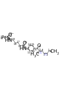 C=C/C=C\C=C(/C)C(=O)c1ccc(NC(=O)CCCCN[S+]([O-])C(C)C)cc1